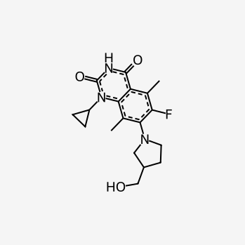 Cc1c(F)c(N2CCC(CO)C2)c(C)c2c1c(=O)[nH]c(=O)n2C1CC1